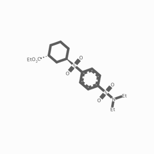 CCOC(=O)[C@@H]1CCC[C@@H](S(=O)(=O)c2ccc(S(=O)(=O)N(CC)CC)cc2)C1